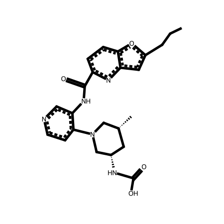 CCCc1cc2nc(C(=O)Nc3cnccc3N3C[C@H](C)C[C@H](NC(=O)O)C3)ccc2o1